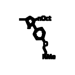 CCCCCCCCc1cc(C)sc1-c1ccc(OCCNC)cc1